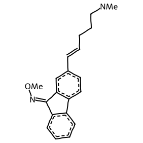 CNCCC/C=C/c1ccc2c(c1)/C(=N\OC)c1ccccc1-2